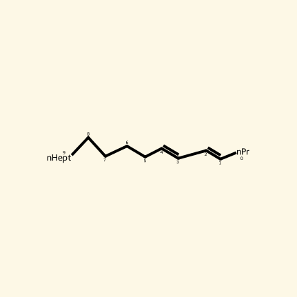 [CH2]CCC=CC=CCCCCCCCCCCC